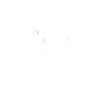 FC1(F)CCC([C@@H]2c3sccc3-c3cncn32)CC1